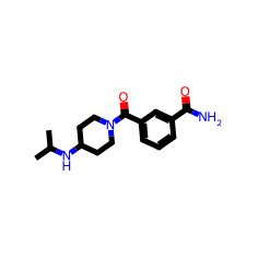 CC(C)NC1CCN(C(=O)c2cccc(C(N)=O)c2)CC1